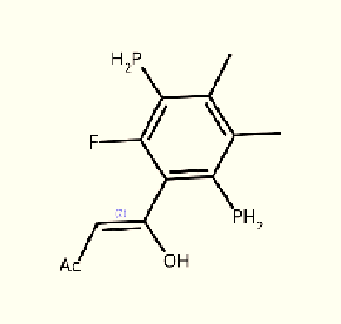 CC(=O)/C=C(\O)c1c(F)c(P)c(C)c(C)c1P